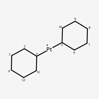 C1CC[CH]([Pt][CH]2CCCCC2)CC1